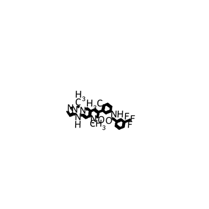 CCn1nccc1Nc1cc2c(cn1)cc(-c1cc(NC(=O)c3cccc(C(F)(F)F)c3)ccc1C)c(=O)n2C